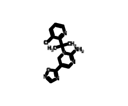 CC(C)(c1ncccc1Cl)N1CC(c2ncno2)=CN=C1N